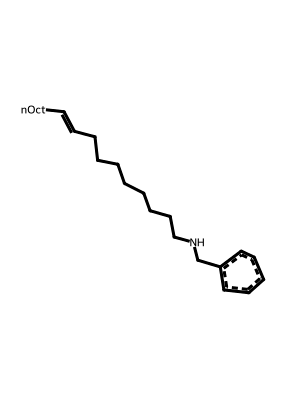 CCCCCCCCC=CCCCCCCCCNCc1ccccc1